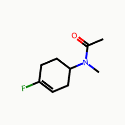 CC(=O)N(C)C1CC=C(F)CC1